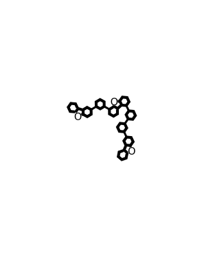 c1cc(-c2cccc(-c3cccc4oc5c(-c6cccc(-c7ccc8oc9ccccc9c8c7)c6)cccc5c34)c2)cc(-c2ccc3oc4ccccc4c3c2)c1